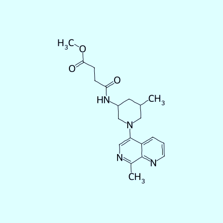 COC(=O)CCC(=O)NC1CC(C)CN(c2cnc(C)c3ncccc23)C1